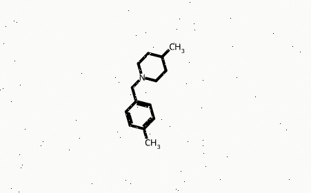 Cc1ccc(CN2CCC(C)CC2)cc1